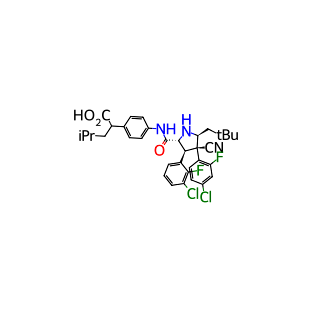 CC(C)CC(C(=O)O)c1ccc(NC(=O)[C@@H]2N[C@@H](CC(C)(C)C)[C@](C#N)(c3ccc(Cl)cc3F)[C@H]2c2cccc(Cl)c2F)cc1